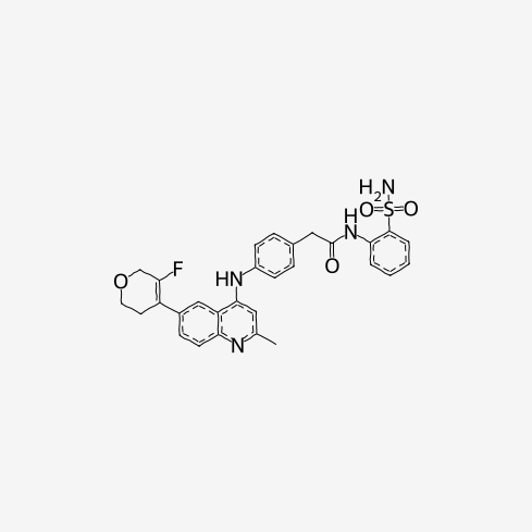 Cc1cc(Nc2ccc(CC(=O)Nc3ccccc3S(N)(=O)=O)cc2)c2cc(C3=C(F)COCC3)ccc2n1